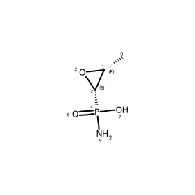 C[C@H]1O[C@H]1P(N)(=O)O